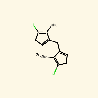 CCCCC1=C(Cl)CC=C1CC1=CCC(Cl)=C1CCCC.[Zr]